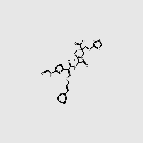 O=CNc1nc(C(=NOCC=Cc2ccccc2)C(=O)NC2C(=O)N3CC(CSc4nncs4)(C(=O)O)CS[C@H]23)cs1